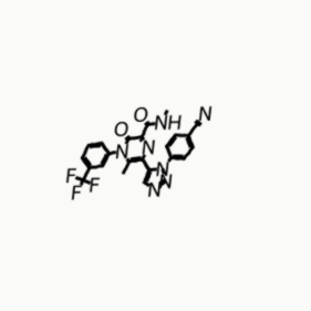 CNC(=O)c1nc(-c2cnnn2-c2ccc(C#N)cc2)c(C)n(-c2cccc(C(F)(F)F)c2)c1=O